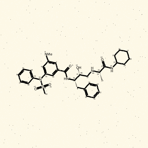 CNc1cc(C(=O)N[C@@H](Cc2ccccc2)[C@H](O)CN[C@@H](C)C(=O)NC2CCCCC2)cc(N(c2ccccc2)S(C)(=O)=O)c1